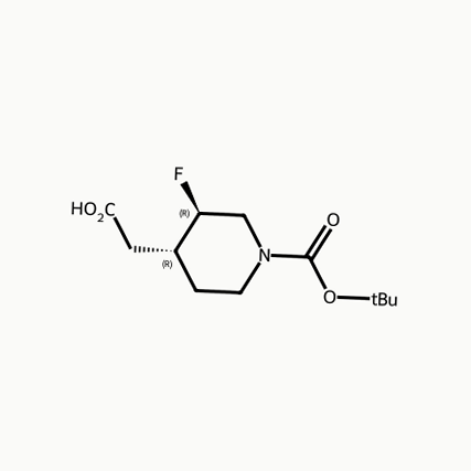 CC(C)(C)OC(=O)N1CC[C@H](CC(=O)O)[C@@H](F)C1